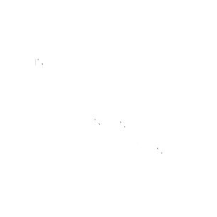 CN1CC2CN(c3ccc(-c4ccc5[nH]ccc5c4)cn3)CC2C1